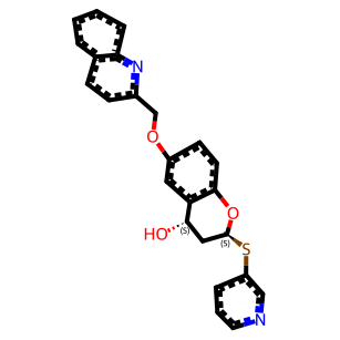 O[C@H]1C[C@H](Sc2cccnc2)Oc2ccc(OCc3ccc4ccccc4n3)cc21